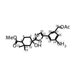 COC(=O)C1CCC(O)(c2ncc(-c3cc(N)cc(COC(C)=O)c3)s2)CC1(C)C